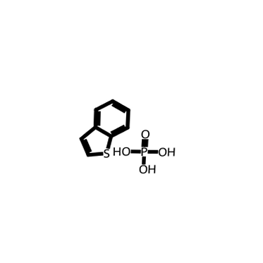 O=P(O)(O)O.c1ccc2sccc2c1